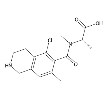 Cc1cc2c(c(Cl)c1C(=O)N(C)[C@@H](C)C(=O)O)CCNC2